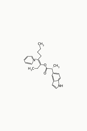 CCCC/C(=C(/CC)OC(=O)[C@H](C)c1ccc2[nH]ccc2c1)[n+]1ccccc1